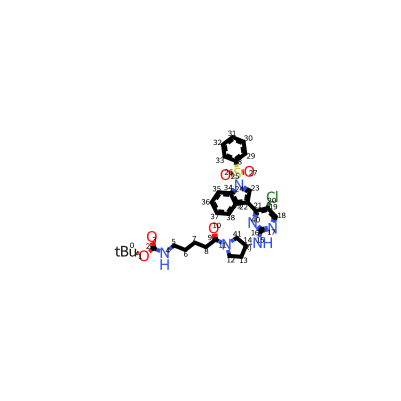 CC(C)(C)OC(=O)NCCCCC(=O)N1CC[C@@H](Nc2ncc(Cl)c(-c3cn(S(=O)(=O)c4ccccc4)c4ccccc34)n2)C1